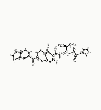 COC(=O)[C@H](CNC(=O)c1cccs1)NC(=O)c1c(Cl)cc2c(c1Cl)CCN(C(=O)c1ccc3ccoc3c1)C2